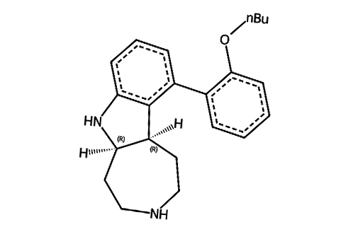 CCCCOc1ccccc1-c1cccc2c1[C@H]1CCNCC[C@H]1N2